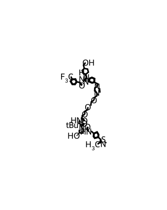 Cc1ncsc1-c1ccc(CNC(=O)[C@@H]2C[C@@H](O)CN2C(=O)[C@@H](NC(=O)COCCOCCOCCN2CCN(Cc3ccc4c(c3)nc(NC(=O)c3cccc(C(F)(F)F)c3)n4C3CCC(CO)CC3)CC2)C(C)(C)C)cc1